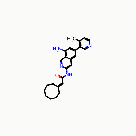 Cc1ccncc1-c1cc(N)c2cnc(NC(=O)C=C3CCCCCCC3)cc2c1